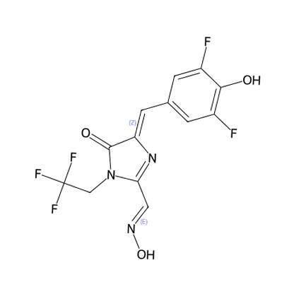 O=C1/C(=C/c2cc(F)c(O)c(F)c2)N=C(/C=N/O)N1CC(F)(F)F